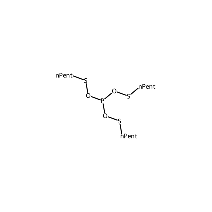 CCCCCSOP(OSCCCCC)OSCCCCC